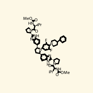 COC(=O)NC(C(=O)N1CCC[C@H]1c1nc2cc([C@H]3CC[C@@H](c4ccc5[nH]c([C@@H]6CCCN6C(=O)[C@@H](NC(=O)OC)C(C)C)nc5c4)N3c3cc(F)c(N4CCC(c5ccccc5)CC4)c(F)c3)ccc2[nH]1)C(C)C